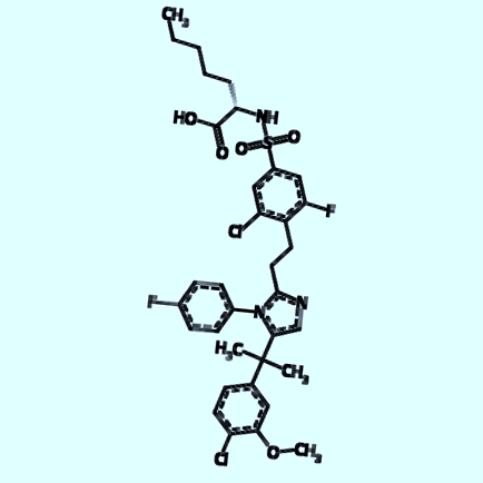 CCCCC[C@H](NS(=O)(=O)c1cc(F)c(CCc2ncc(C(C)(C)c3ccc(Cl)c(OC)c3)n2-c2ccc(F)cc2)c(Cl)c1)C(=O)O